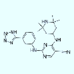 CC1(C)CC(Nc2nc(Nc3cccc(-c4nnn[nH]4)c3)ncc2C#N)CC(C)(C)N1